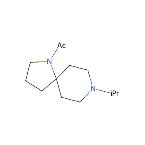 CC(=O)N1CCCC12CCN(C(C)C)CC2